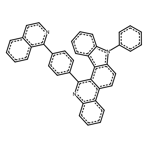 c1ccc(-n2c3ccccc3c3c4c(-c5ccc(-c6nccc7ccccc67)cc5)nc5ccccc5c4ccc32)cc1